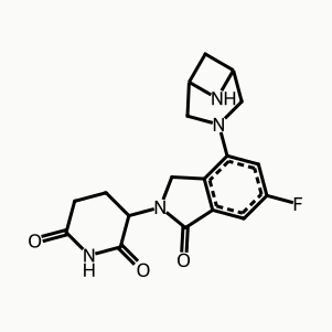 O=C1CCC(N2Cc3c(cc(F)cc3N3CC4CC(C3)N4)C2=O)C(=O)N1